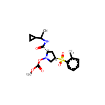 CC(C)(C)OC(=O)ON1C[C@H](S(=O)(=O)c2ccccc2C(F)(F)F)C[C@H]1C(=O)NC(C#N)C1CC1